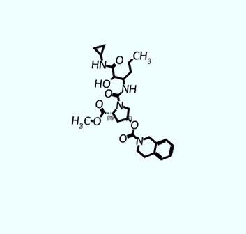 CCCC(NC(=O)N1C[C@@H](OC(=O)N2CCc3ccccc3C2)C[C@@H]1C(=O)OC)C(O)C(=O)NC1CC1